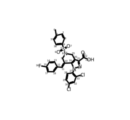 Cc1ccc(S(=O)(=O)N2CC(=Cc3ccc(F)cc3)c3c(c(C(=O)O)nn3-c3ccc(Cl)cc3Cl)C2)cc1